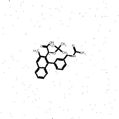 CC(=O)NCc1cccc(-c2c([C@H](OC(C)(C)C)C(=O)O)c(C)cc3ccccc23)c1